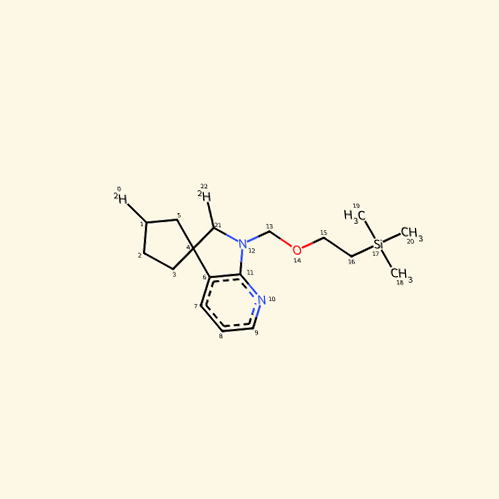 [2H]C1CCC2(C1)c1cccnc1N(COCC[Si](C)(C)C)C2[2H]